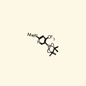 CNc1cc(C(F)(F)F)c(B2OC(C)(C)C(C)(C)O2)cn1